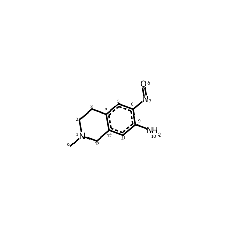 CN1CCc2cc(N=O)c(N)cc2C1